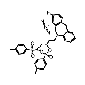 Cc1ccc(S(=O)(=O)OC[C@H](CC[C@@H]2c3ccccc3Cc3ccc(F)cc3[C@H]2N=[N+]=[N-])OS(=O)(=O)c2ccc(C)cc2)cc1